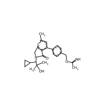 CC(=N)OCc1ccc(-c2cc(C)cc3c2C(=O)N(C(C2CC2)C(C)(C)O)C3)cc1